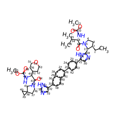 CC[C@@H]1CCN(C(=O)[C@@H](NC(=O)OC)C(C)C)[C@@H]1c1ncc(-c2ccc(-c3ccc4cc(-c5cnc([C@@H]6CC7(CC7)CN6C(=O)C(NC(=O)OC)C6CCOCC6)[nH]5)ccc4c3)cc2)[nH]1